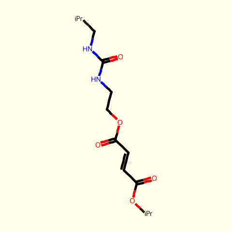 CC(C)CNC(=O)NCCOC(=O)/C=C/C(=O)OC(C)C